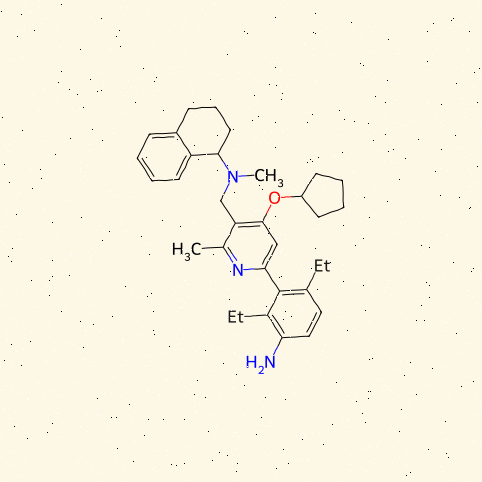 CCc1ccc(N)c(CC)c1-c1cc(OC2CCCC2)c(CN(C)C2CCCc3ccccc32)c(C)n1